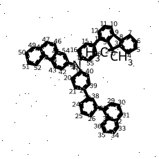 CC1(C)c2ccccc2-c2cccc(-c3ccc(N(c4ccc(-c5cccc(-c6cccc7ccccc67)c5)cc4)c4ccc5c(ccc6ccccc65)c4)cc3)c21